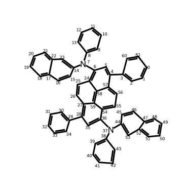 c1ccc(-c2cc(N(c3ccccc3)c3ccc4ccccc4c3)c3ccc4c(-c5ccccc5)cc(N(c5ccccc5)c5ccc6ccccc6c5)c5ccc2c3c45)cc1